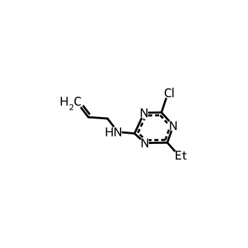 C=CCNc1nc(Cl)nc(CC)n1